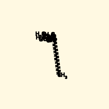 CCC=CCC=CCC=CCC=CCC=CCCCCOC(CC)C(=O)NC(CC(C)C)C(=O)O